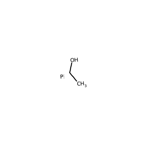 CCO.[P]